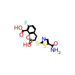 NC(=O)c1cnc(S[C@H]2Cc3ccc(F)c(C(=O)O)c3OB2O)s1